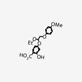 CCOC(COc1ccc(OC)cc1)Oc1ccc(C(=O)O)c(O)c1